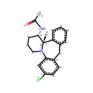 O=C(N[C@H]1CCCN2c3cc(Cl)ccc3Cc3ccccc3[C@@H]12)C(F)(F)F